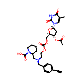 C#Cc1ccc(CN(CCOC(=O)OC[C@H]2O[C@@H](n3cc(C)c(=O)[nH]c3=O)C[C@@H]2OC(C)=O)CC2CCCCN2C(=O)O)cc1